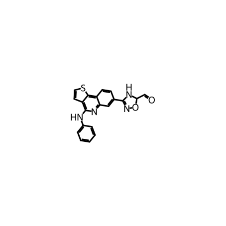 O=CC1NC(c2ccc3c(c2)nc(Nc2ccccc2)c2ccsc23)=NO1